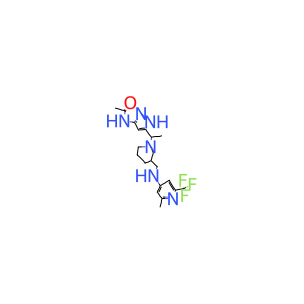 CC(=O)Nc1cc(C(C)N2CCCC(CNc3cc(C)nc(C(F)(F)F)c3)C2)[nH]n1